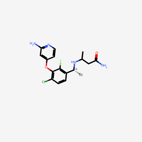 CC[C@@H](NC(C)CC(N)=O)c1ccc(Cl)c(Oc2ccnc(N)c2)c1F